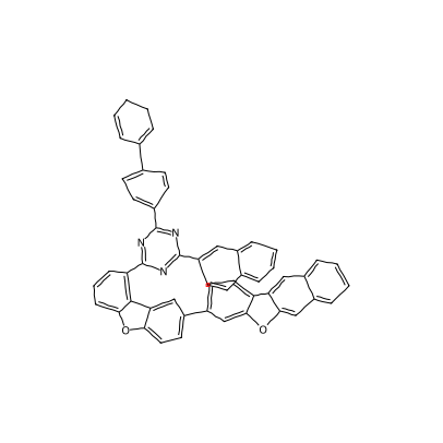 C1=CC(c2ccc(-c3nc(-c4ccc5ccccc5c4)nc(-c4cccc5oc6ccc(-c7ccc8c(c7)oc7cc9ccccc9cc78)cc6c45)n3)cc2)=CCC1